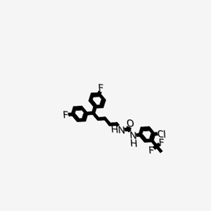 CC(F)(F)c1cc(NC(=O)NCCCCC(c2ccc(F)cc2)c2ccc(F)cc2)ccc1Cl